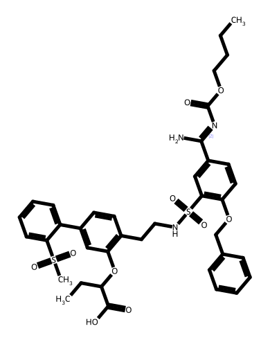 CCCCOC(=O)/N=C(\N)c1ccc(OCc2ccccc2)c(S(=O)(=O)NCCc2ccc(-c3ccccc3S(C)(=O)=O)cc2OC(CC)C(=O)O)c1